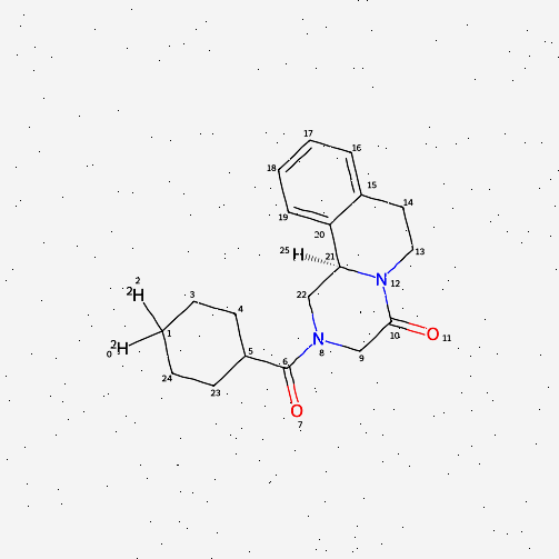 [2H]C1([2H])CCC(C(=O)N2CC(=O)N3CCc4ccccc4[C@@H]3C2)CC1